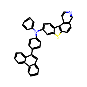 c1ccc(N(c2ccc(-c3cc4ccccc4c4ccccc34)cc2)c2ccc3c(c2)sc2ccc4cnccc4c23)cc1